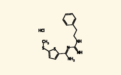 CSc1ccc(C(N)=NC(=N)NCCc2ccccc2)s1.Cl